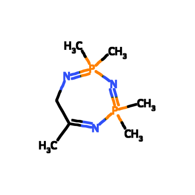 CC1=NP(C)(C)=NP(C)(C)=NC1